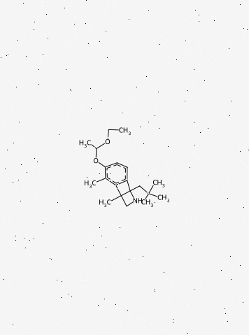 CCOC(C)Oc1ccc2c(c1C)C1(C)CNC21CC(C)(C)C